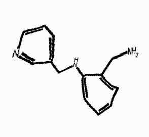 NCc1ccccc1NCc1cccnc1